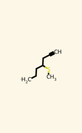 C#CCC(CC[CH2])SC